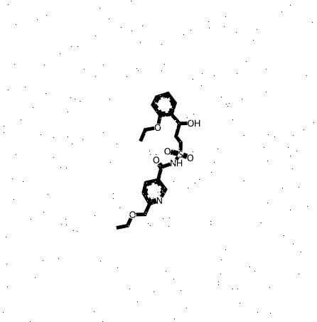 CCOCc1ccc(C(=O)NS(=O)(=O)CCC(O)c2ccccc2OCC)cn1